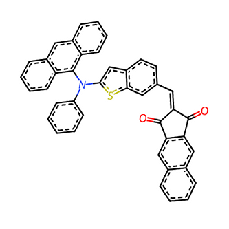 O=C1C(=Cc2ccc3cc(N(c4ccccc4)c4c5ccccc5cc5ccccc45)sc3c2)C(=O)c2cc3ccccc3cc21